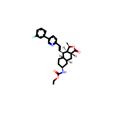 CCOC(=O)N[C@H]1CC[C@H]2[C@H](C1)C[C@H]1C(=O)O[C@H](C)[C@@H]1[C@@H]2/C=C/c1ccc(-c2cccc(F)c2)cn1